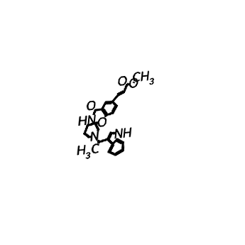 COC(=O)/C=C/c1ccc2c(c1)C(=O)NC1(CCCN(C(C)c3c[nH]c4ccccc34)C1)O2